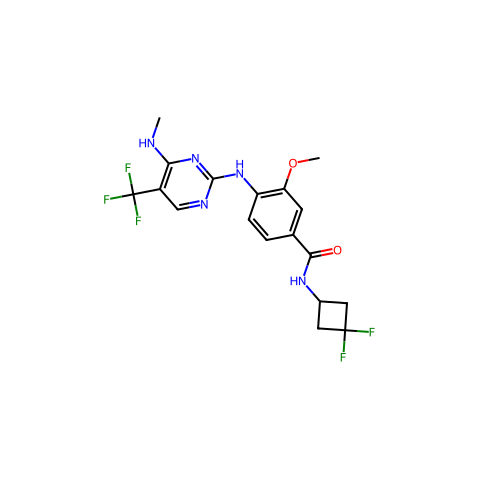 CNc1nc(Nc2ccc(C(=O)NC3CC(F)(F)C3)cc2OC)ncc1C(F)(F)F